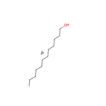 CCCCCCCCCCCCO.[Zr]